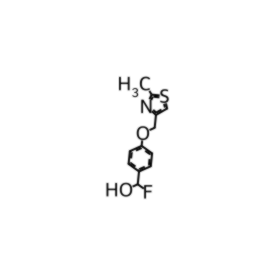 Cc1nc(COc2ccc(C(O)F)cc2)cs1